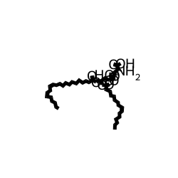 CCCCC/C=C\C/C=C\CCCCCCCCCCCC(=O)OC[C@H](COP(=O)(O)OC[C@H](N)C(=O)O)OC(=O)CCCCCCC/C=C\CCCCCC